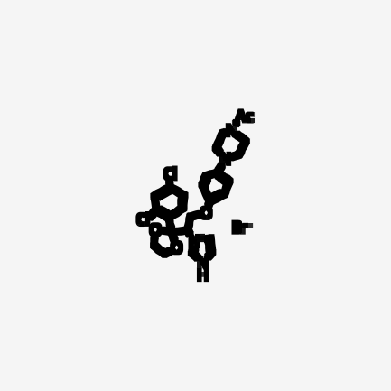 CC(=O)N1CCN(c2ccc(OCC([n+]3cc[nH]c3)C3(c4ccc(Cl)cc4Cl)OCCO3)cc2)CC1.[Br-]